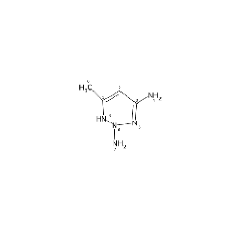 CC1=CC(N)=NN(N)N1